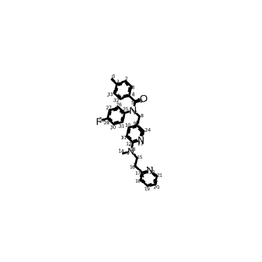 Cc1ccc(C(=O)N(Cc2ccc(N(C)CCc3ccccn3)nc2)c2ccc(F)cc2)cc1